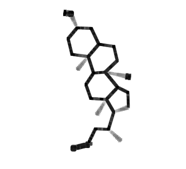 C[C@H](C[S+]=O)[C@H]1CCC2[C@@H]3CCC4C[C@@H](O)CC[C@]4(C)C3CC[C@@]21C